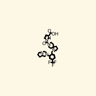 O=C(O)c1ccn(C(=O)N2CCC3(CCCN3Cc3ccc(C(F)(F)F)cc3N3CCN4CCCC4C3)CC2)n1